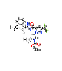 Cc1ccccc1C1(c2noc(-c3cc(C(F)F)nn3CCN(C)C(=O)OC(C)(C)C)n2)CC1